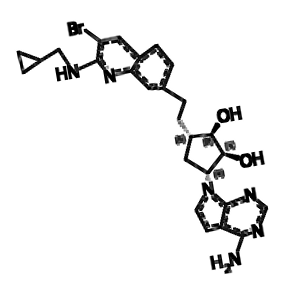 Nc1ncnc2c1ccn2[C@@H]1C[C@H](CCc2ccc3cc(Br)c(NCC4CC4)nc3c2)[C@@H](O)[C@H]1O